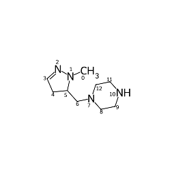 CN1N=CCC1CN1CCNCC1